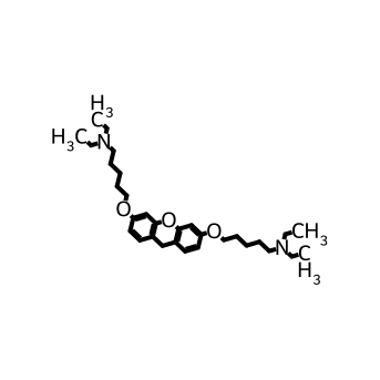 CCN(CC)CCCCCOc1ccc2c(c1)Oc1cc(OCCCCCN(CC)CC)ccc1C2